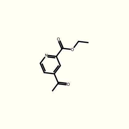 CCOC(=O)c1cc(C(C)=O)ccn1